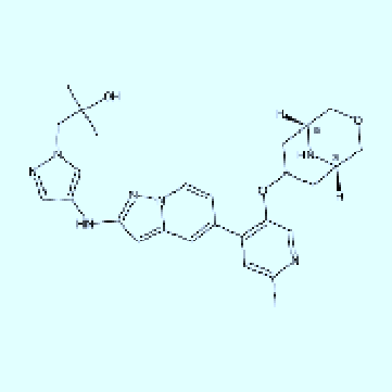 Cc1cc(-c2ccn3nc(Nc4cnn(CC(C)(C)O)c4)cc3c2)c(OC2C[C@H]3COC[C@@H](C2)N3)cn1